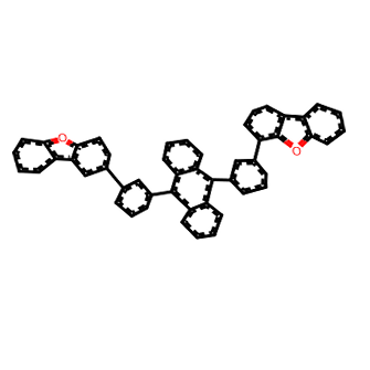 c1cc(-c2ccc3oc4ccccc4c3c2)cc(-c2c3ccccc3c(-c3cccc(-c4cccc5c4oc4ccccc45)c3)c3ccccc23)c1